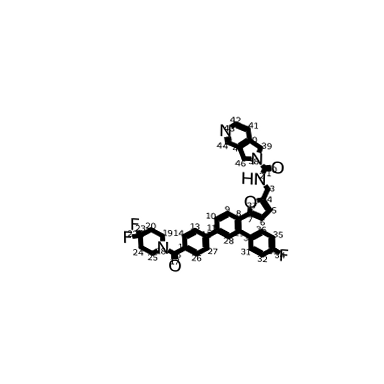 O=C(NCc1ccc(-c2ccc(-c3ccc(C(=O)N4CCC(F)(F)CC4)cc3)cc2-c2ccc(F)cc2)o1)N1Cc2ccncc2C1